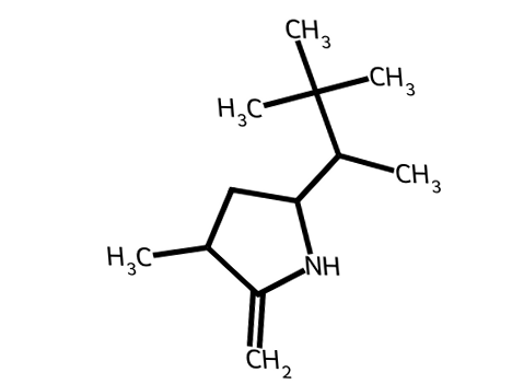 C=C1NC(C(C)C(C)(C)C)CC1C